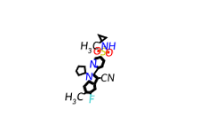 Cc1cc2c(cc1F)c(C#N)c(-c1ccc(S(=O)(=O)NC3(C)CC3)cn1)n2C1CCCC1